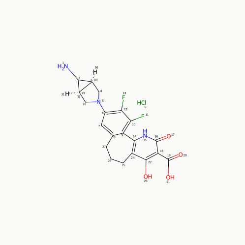 Cl.NC1[C@H]2CN(c3cc4c(c(F)c3F)-c3[nH]c(=O)c(C(=O)O)c(O)c3CCC4)C[C@@H]12